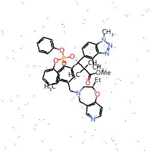 CC[C@@H]1CN(Cc2cc([C@@](OP(=O)(Oc3ccccc3)Oc3ccccc3)(c3ccc4c(nnn4C)c3C)C(C)(C)C(=O)OC)ccc2C)Cc2cnccc2O1